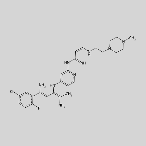 C/C(N)=C(/C=C(\N)c1cc(Cl)ccc1F)Nc1ccnc(NC(=N)/C=C\NCCN2CCN(C)CC2)c1